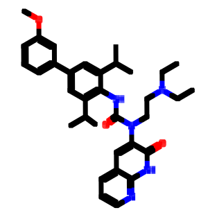 CCN(CC)CCN(C(=O)Nc1c(C(C)C)cc(-c2cccc(OC)c2)cc1C(C)C)c1cc2cccnc2[nH]c1=O